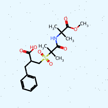 COC(=O)C(C)(C)NC(=O)C(C)(C)S(=O)(=O)CC(Cc1ccccc1)C(=O)O